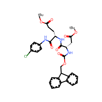 CC(C)(C)OC(=O)CC[C@H](NC(=O)[C@H](CC(=O)OC(C)(C)C)NC(=O)OCC1c2ccccc2-c2ccccc21)C(=O)Nc1ccc(Cl)cc1